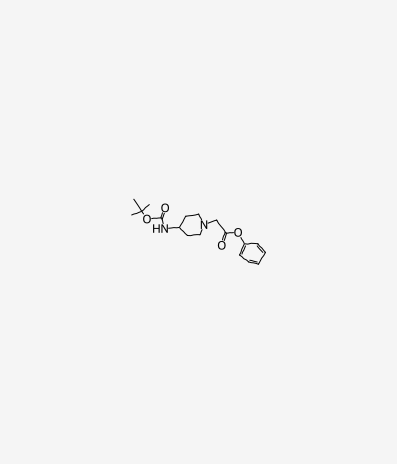 CC(C)(C)OC(=O)NC1CCN(CC(=O)Oc2ccccc2)CC1